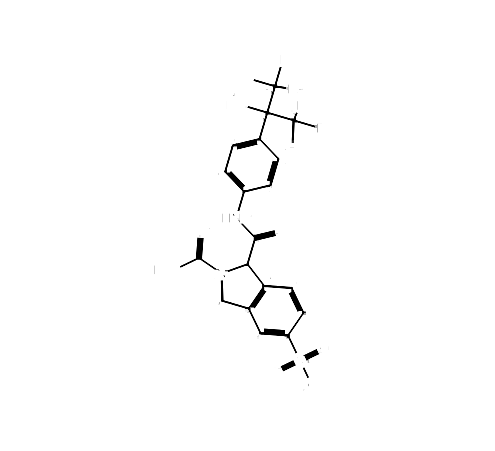 CC(=O)N1Cc2cc(S(C)(=O)=O)ccc2C1C(=O)Nc1ccc(C(O)(C(F)(F)F)C(F)(F)F)cc1